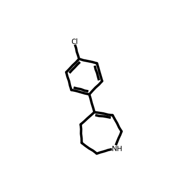 Clc1ccc(C2=CCNCCC2)cc1